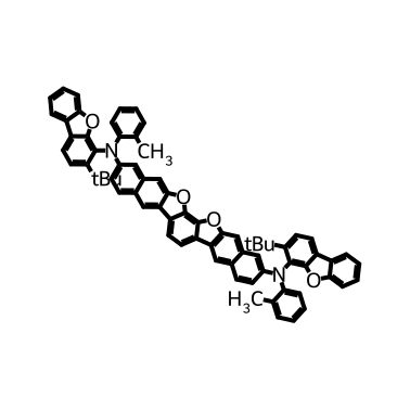 Cc1ccccc1N(c1ccc2cc3c(cc2c1)oc1c3ccc2c3cc4ccc(N(c5ccccc5C)c5c(C(C)(C)C)ccc6c5oc5ccccc56)cc4cc3oc21)c1c(C(C)(C)C)ccc2c1oc1ccccc12